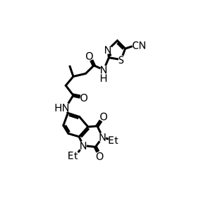 CCn1c(=O)c2cc(NC(=O)CC(C)CC(=O)Nc3ncc(C#N)s3)ccc2n(CC)c1=O